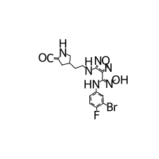 O=C=C1CC(CCNc2nonc2C(=NO)Nc2ccc(F)c(Br)c2)CN1